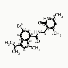 Cc1cc(C)c(CNC(=O)c2cc(Br)cc3c(C(C)C)cn(C)c23)c(=O)[nH]1